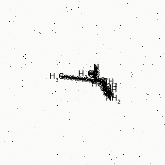 C=NC[C@]1(COP(=O)(O)OC[C@H](COCCCCCCCCCCCCCCCCCC)OCc2ccc(C#N)cc2OC)OC[C@](O)(c2ccc3c(N)ncnn23)[C@@H]1O